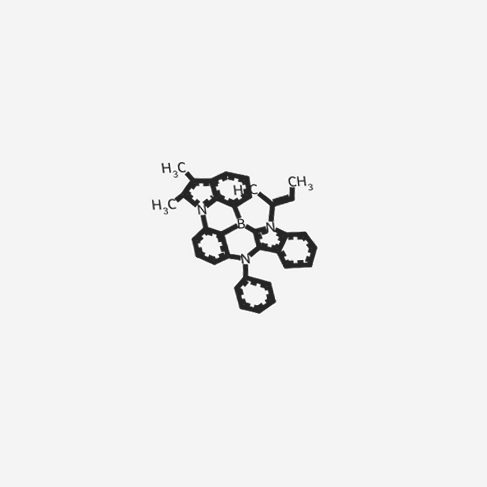 C/C=C(\C)n1c2c(c3ccccc31)N(c1ccccc1)c1cccc3c1B2c1cccc2c(C)c(C)n-3c12